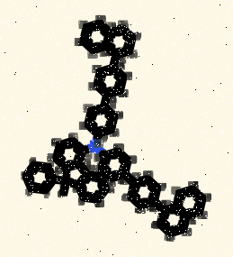 CC1(c2ccccc2)c2ccccc2-c2c(N(c3ccc(-c4ccc(-c5cccc6ccccc56)cc4)cc3)c3ccc(-c4ccc(-c5cccc6ccccc56)cc4)cc3)cccc21